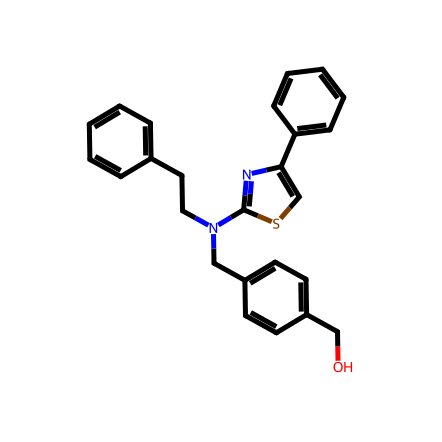 OCc1ccc(CN(CCc2ccccc2)c2nc(-c3ccccc3)cs2)cc1